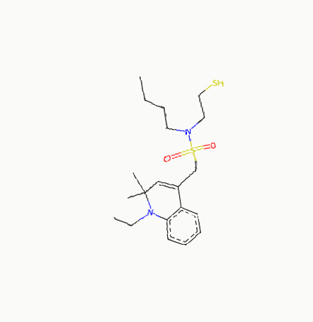 CCCCN(CCS)S(=O)(=O)CC1=CC(C)(C)N(CC)c2ccccc21